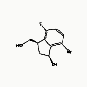 OC[C@@H]1C[C@H](O)c2c(Br)ccc(F)c21